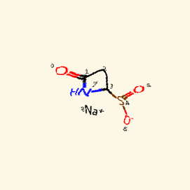 O=C1CC(S(=O)[O-])N1.[Na+]